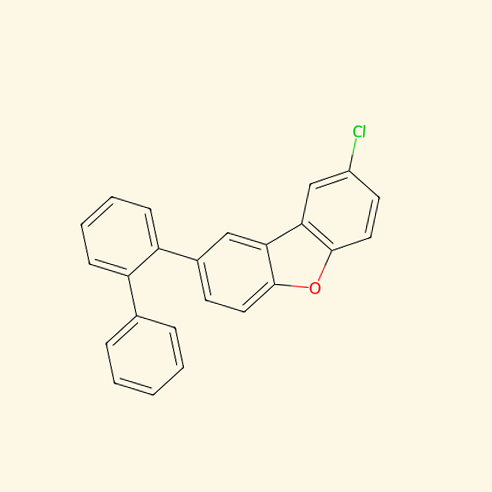 Clc1ccc2oc3ccc(-c4ccccc4-c4ccccc4)cc3c2c1